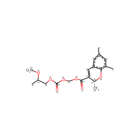 Cc1cc(C)c2c(c1)C=C(C(=O)OCOC(=O)OCC(C)O[N+](=O)[O-])[C@@H](C(F)(F)F)O2